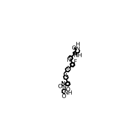 Cn1c(=O)n(C2CCC(=O)NC2=O)c2cccc(C3CCN(CC4CCN(c5ccc(F)c(-c6cc(-c7cc8c([nH]7)CCNC8=O)ccn6)c5)CC4)CC3)c21